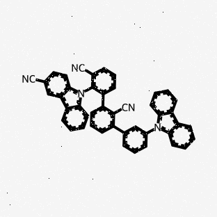 N#Cc1ccc2c(c1)c1ccccc1n2-c1c(C#N)cccc1-c1cccc(-c2cccc(-n3c4ccccc4c4ccccc43)c2)c1C#N